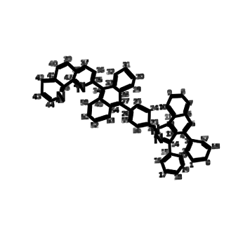 c1ccc(-c2cc3ccccc3c3c2c(-c2ccccc2)nn3-c2ccc(-c3c4ccccc4c(-c4ccc5ccc6cccnc6c5n4)c4ccccc34)cc2)cc1